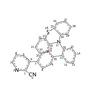 N#Cc1ncccc1-c1ccc(-c2ccccc2N2c3ccccc3Sc3ccccc32)cc1